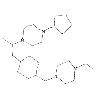 CCN1CCN(CC2CCC(CC(C)N3CCN(C4CCCC4)CC3)CC2)CC1